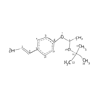 [2H]/C=C/c1ccc(OC(C)OC(C)(C)C)cc1